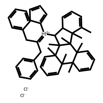 CC1=CC=CC2[CH]([Hf+2]([C]3=CC=CC3)=[C](Cc3ccccc3)Cc3ccccc3)C3(C)C4(C)C=CC=CC4(C)C4(C)C=CC=CC4(C)C3(C)C12C.[Cl-].[Cl-]